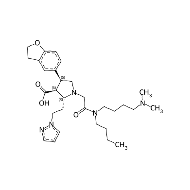 CCCCN(CCCCN(C)C)C(=O)CN1C[C@H](c2ccc3c(c2)CCO3)[C@H](C(=O)O)[C@H]1CCn1cccn1